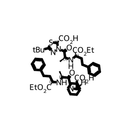 CCOC(=O)[C@H](CCc1ccccc1)N[C@@H](C)C(=O)N1C2CCC(CC2)[C@H]1C(=O)O.CCOC(=O)[C@H](CCc1ccccc1)N[C@@H](C)C(=O)N1N=C(C(C)(C)C)S[C@H]1C(=O)O